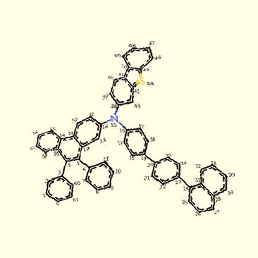 c1ccc(-c2c(-c3ccccc3)c3cc(N(c4ccc(-c5ccc(-c6cccc7ccccc67)cc5)cc4)c4ccc5c(c4)sc4ccccc45)ccc3c3ccccc23)cc1